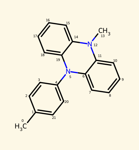 Cc1ccc(N2c3ccccc3N(C)c3ccccc32)cc1